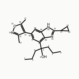 CCCC(O)(CCC)c1cc(-c2c(C)noc2C)cc2[nH]c(C3CC3)nc12